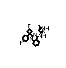 Cc1cc(Nc2nc(C3(c4ccc(F)cc4)CC(F)C3)nc3ccccc23)n[nH]1